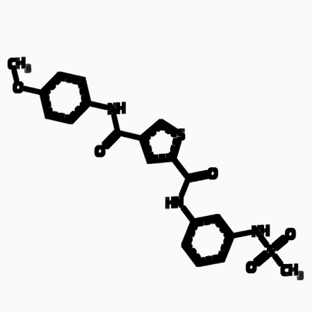 COc1ccc(NC(=O)c2csc(C(=O)Nc3cccc(NS(C)(=O)=O)c3)c2)cc1